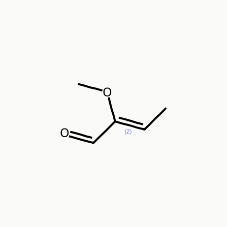 C/C=C(/C=O)OC